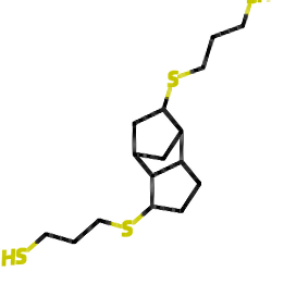 SCCCSC1CC2CC1C1CCC(SCCCS)C21